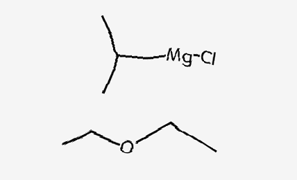 CCOCC.C[CH](C)[Mg][Cl]